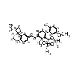 COc1ccc(F)c(-c2ccc(COc3ccc4c(c3)[C@]3(CCC4)CC[C@H]3C=O)cc2[C@@H](OC)C(C)(C)C)c1